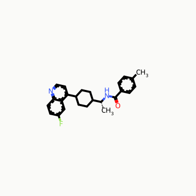 Cc1ccc(C(=O)N[C@H](C)C2CCC(c3ccnc4ccc(F)cc34)CC2)cc1